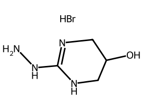 Br.NNC1=NCC(O)CN1